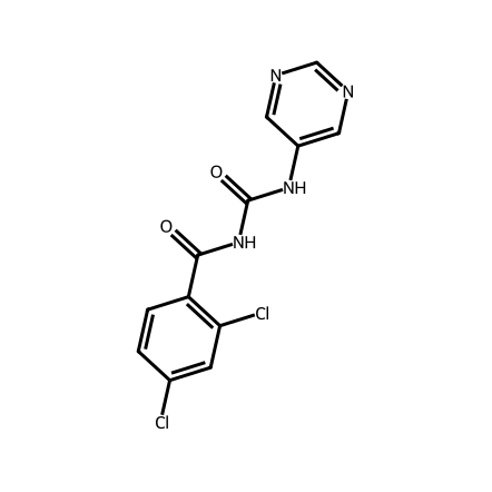 O=C(NC(=O)c1ccc(Cl)cc1Cl)Nc1cncnc1